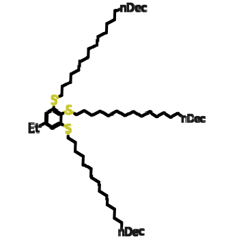 [CH2]Cc1cc(SCCCCCCCCCCCCCCCCCCCCCCCC)c(SCCCCCCCCCCCCCCCCCCCCCCCC)c(SCCCCCCCCCCCCCCCCCCCCCCCC)c1